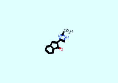 O=C(O)c1nc(C2=Cc3ccccc3C2=O)c[nH]1